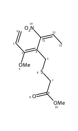 C=C/C(OC)=C(CSCC(=O)OC)\C(=C/C)[N+](=O)[O-]